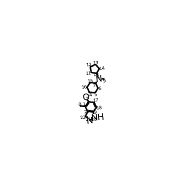 Cc1c(OC2CCC(N(C)C3CCCC3)CC2)ccc2[nH]ncc12